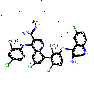 N/N=C(\N)c1cnc2c(-c3c(Cl)ccc(Nc4c(N)cnc5ccc(Cl)cc45)c3C(=O)O)cc(Cl)cc2c1Nc1ccc(Cl)cc1C(=O)O